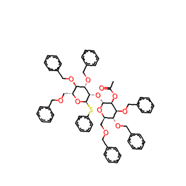 CC(=O)O[C@@H]1[C@@H](O[C@H]2[C@@H](OCc3ccccc3)[C@H](OCc3ccccc3)[C@@H](COCc3ccccc3)O[C@@H]2Sc2ccccc2)O[C@H](COCc2ccccc2)[C@@H](OCc2ccccc2)[C@@H]1OCc1ccccc1